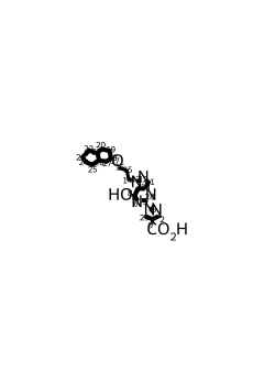 O=C(O)c1cnn(-c2nc(O)c3c(cnn3CCCOc3ccc4ccccc4c3)n2)c1